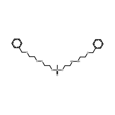 CP(=O)(OCCNNCCOCc1ccccc1)OCCSOCCOCc1ccccc1